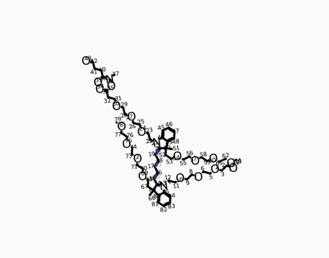 COCCOCCOCCOCC[N+]1=C(/C=C/C=C/C=C2/N(CCOCCOCCOCCC(=O)ON(C)C(=O)CCC=O)c3ccccc3C2(C)CCOCCOCCOCCOC)C(C)(CCOCCOCCOCCOC)c2ccccc21